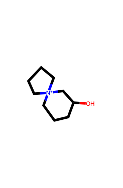 OC1CCC[N+]2(CCCC2)C1